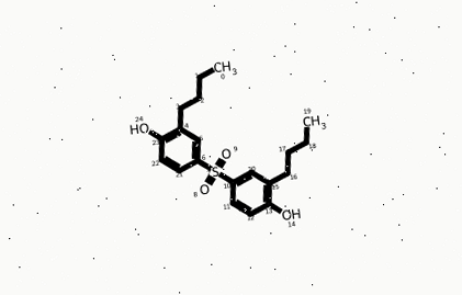 CCCCc1cc(S(=O)(=O)c2ccc(O)c(CCCC)c2)ccc1O